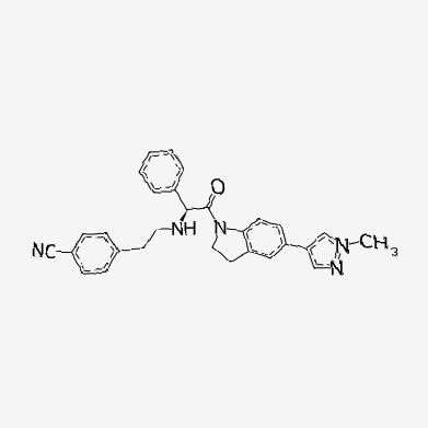 Cn1cc(-c2ccc3c(c2)CCN3C(=O)[C@@H](NCCc2ccc(C#N)cc2)c2ccccc2)cn1